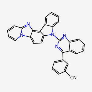 N#Cc1cccc(-c2nc(-n3c4ccccc4c4c5nc6ccccn6c5ccc43)nc3ccccc23)c1